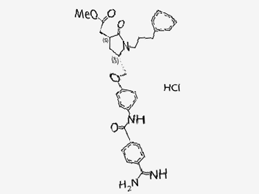 COC(=O)C[C@@H]1C[C@@H](COc2ccc(NC(=O)c3ccc(C(=N)N)cc3)cc2)N(CCCc2ccccc2)C1=O.Cl